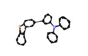 c1ccc(N(c2ccccc2)c2cccc(-c3ccc4sc5ccccc5c4c3)c2)cc1